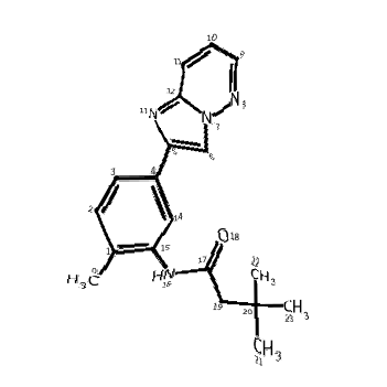 Cc1ccc(-c2cn3ncccc3n2)cc1NC(=O)CC(C)(C)C